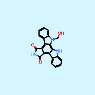 O=C1NC(=O)c2c1c1c3ccccc3[nH]c1c1c2c2ccccc2n1CO